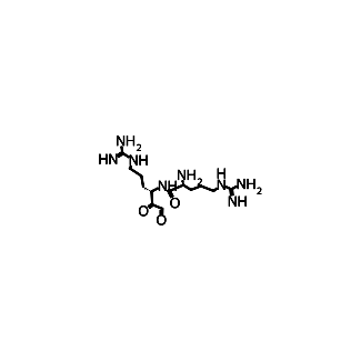 N=C(N)NCCC[C@H](NC(=O)[C@@H](N)CCCNC(=N)N)C(=O)C=O